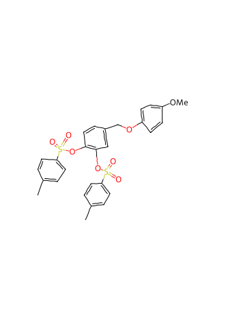 COc1ccc(OCc2ccc(OS(=O)(=O)c3ccc(C)cc3)c(OS(=O)(=O)c3ccc(C)cc3)c2)cc1